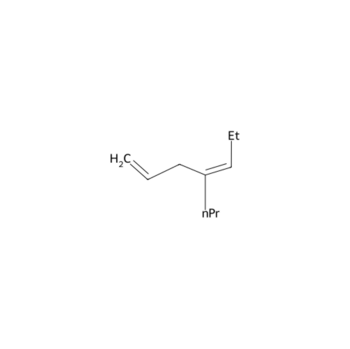 C=CCC(=CCC)CCC